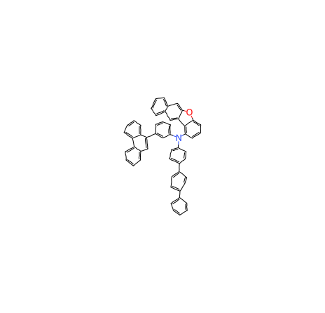 c1ccc(-c2ccc(-c3ccc(N(c4cccc(-c5cc6ccccc6c6ccccc56)c4)c4cccc5oc6cc7ccccc7cc6c45)cc3)cc2)cc1